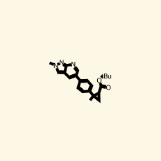 Cn1cc2cc(-c3ccc(C4(C)CC4C(=O)OC(C)(C)C)cc3)cnc2n1